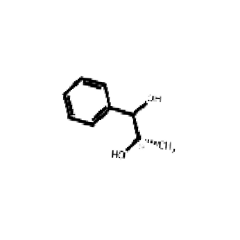 C[C@H](O)C(O)c1ccccc1